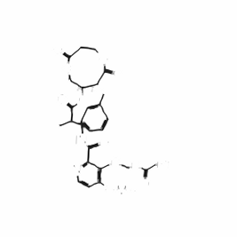 COc1ccnc(C(=O)NCC(C)C(=O)O[C@H]2[C@H](C)OC(=O)CCOC(=O)[C@@H]2Cc2ccccc2)c1OCOC(=O)C(C)C